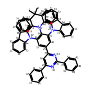 CC1(C)c2ccccc2N(c2c(-n3c4ccccc4c4ccccc43)cc(-c3cc(-c4ccccc4)nc(-c4ccccc4)n3)cc2-n2c3ccccc3c3ccccc32)c2ccccc21